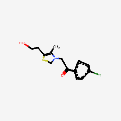 CC1=C(CCO)SCN1CC(=O)c1ccc(Cl)cc1